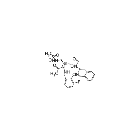 CC(=O)N(NCc1cccc(F)c1Cl)[C@@H](CNS(C)(=O)=O)CON(C=O)c1cc2ccccc2cn1